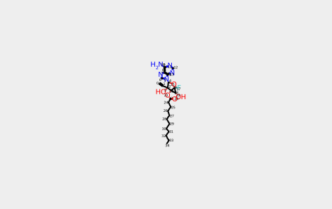 C#C[C@]1(O)[C@H](n2cnc3c(N)ncnc32)O[C@]2(F)C(O)[C@@]21OC(=O)CCCCCCCCCCC